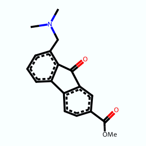 COC(=O)c1ccc2c(c1)C(=O)c1c(CN(C)C)cccc1-2